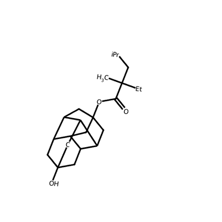 CCC(C)(CC(C)C)C(=O)OC12CC3C4CC5(O)CC3C(C1)C(C5)C4C2